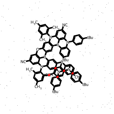 [C-]#[N+]c1cc2c3c(c1)N(c1c(C)cc(C)cc1C)c1cc4c(cc1B3c1cc(C(C)(C)C)ccc1N2c1ccc(C(C)(C)C)cc1)B1c2cc3c(cc2N(c2c(C)cc(C)cc2C)c2cc(C#N)cc(c21)O4)N(c1ccc(C(C)(C)C)cc1)c1cc(C#N)cc2c1B3c1cc(C(C)(C)C)ccc1N2c1ccc(C(C)(C)C)cc1